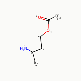 CCC(N)CCOC(=O)C(F)(F)F